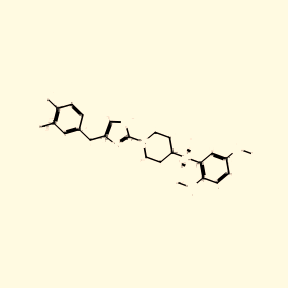 COc1ccc(OC)c(S(=O)(=O)C2CCN(c3nc(Cc4ccc(Cl)c(Cl)c4)cs3)CC2)c1